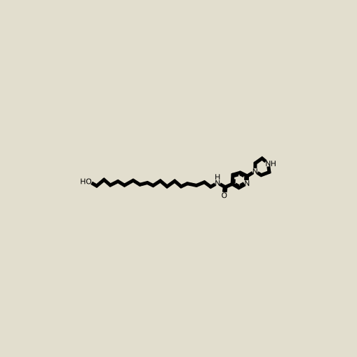 O=C(NCCCCCCCCCCCCCCCCCO)c1ccc(N2CCNCC2)nc1